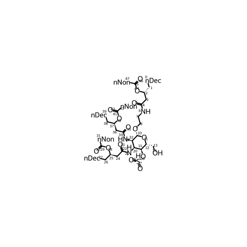 CCCCCCCCCCC[C@H](CC(=O)NCCO[C@@H]1O[C@H](CO)[C@@H](O[SH](=O)=O)[C@@H](NC(=O)C[C@@H](CCCCCCCCCCC)OC(=O)CCCCCCCCC)[C@H]1NC(=O)C[C@@H](CCCCCCCCCCC)OC(=O)CCCCCCCCC)OC(=O)CCCCCCCCC